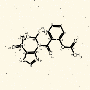 CC(=O)Oc1ccccc1C(=O)N(c1ncsc1[N+](=O)[O-])C(C)C